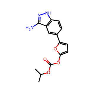 CC(C)OC(=O)Oc1ccc(-c2ccc3[nH]nc(N)c3c2)o1